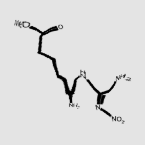 COC(=O)CCCC(N)NC(N)=N[N+](=O)[O-]